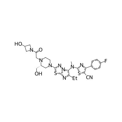 CCc1nc2sc(N3CCN(CC(=O)N4CC(O)C4)[C@@H](CO)C3)nn2c1N(C)c1nc(-c2ccc(F)cc2)c(C#N)s1